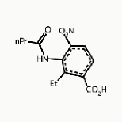 CCCC(=O)Nc1c([N+](=O)[O-])ccc(C(=O)O)c1CC